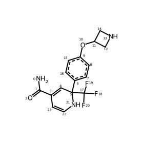 NC(=O)C1=CC(c2ccc(OC3CNC3)cc2)(C(F)(F)F)NC=C1